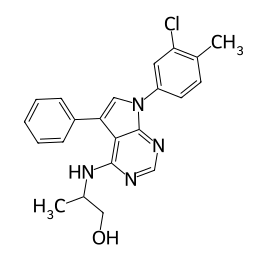 Cc1ccc(-n2cc(-c3ccccc3)c3c(NC(C)CO)ncnc32)cc1Cl